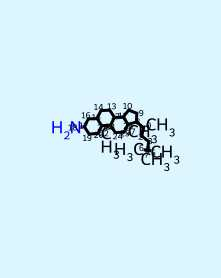 C[C@H](CCC(C)(C)C)C1CCC2C3CCC4CC(N)CCC4(C)C3CCC21C